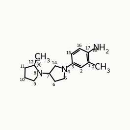 Cc1cc(N2CCC(N3CCC[C@H]3C)C2)ccc1N